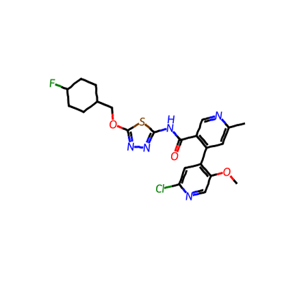 COc1cnc(Cl)cc1-c1cc(C)ncc1C(=O)Nc1nnc(OCC2CCC(F)CC2)s1